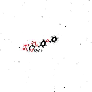 CO[C@H]1O[C@H](CO)[C@@H](O)[C@H](O)[C@H]1OCc1ccc(OCc2ccccc2)cc1